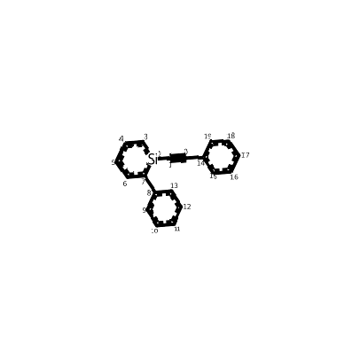 C(#C[si]1ccccc1-c1ccccc1)c1ccccc1